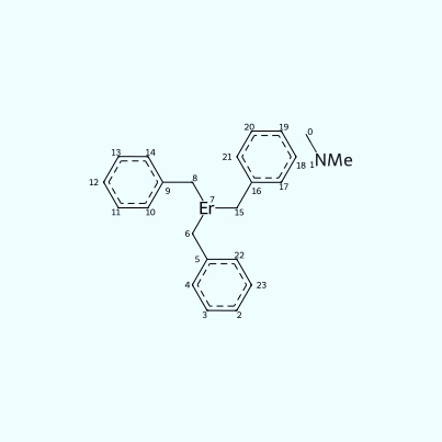 CNC.c1ccc([CH2][Er]([CH2]c2ccccc2)[CH2]c2ccccc2)cc1